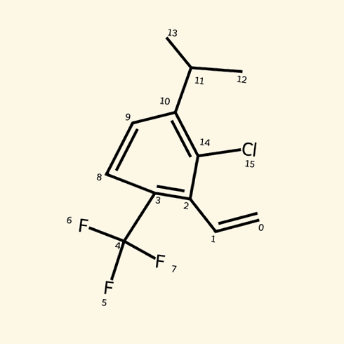 C=Cc1c(C(F)(F)F)ccc(C(C)C)c1Cl